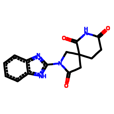 O=C1CCC2(CC(=O)N(c3nc4ccccc4[nH]3)C2)C(=O)N1